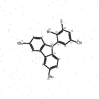 CC(C)(C)c1ccc2c(c1)c1cc(C(C)(C)C)ccc1n2-c1cc(C#N)cc(F)c1Br